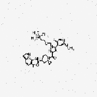 COc1cc(-c2cc(C(=O)N3CCC(C(=O)Nc4c(F)ccc5ccnn45)CC34CC4)nn2COCC[Si](C)(C)C)c(F)cn1